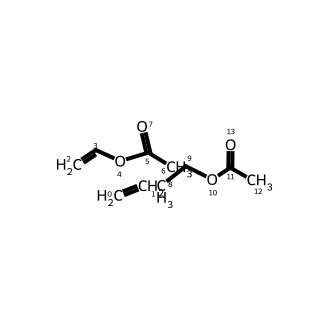 C=C.C=COC(C)=O.CCOC(C)=O